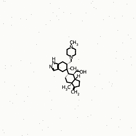 C=C1CC[C@H]2[C@H](CO)[C@@H]([C@@]3(C)Cc4cn[nH]c4C[C@@H]3CN3CCN(C)CC3)CC[C@]12C